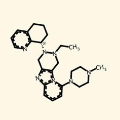 CCN1Cc2c(nc3cccc(N4CCN(C)CC4)n23)CN1[C@H]1CCCc2cccnc21